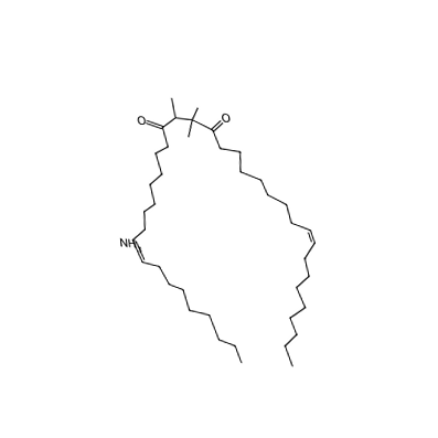 CCCCCCCC/C=C\CCCCCCCC(=O)C(C)C(C)(C)C(=O)CCCCCCC/C=C\CCCCCCCC.N